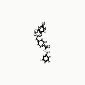 COC(CC1CCN(C(=O)OCc2ccccc2)CC1)Oc1cnc(Cl)nc1